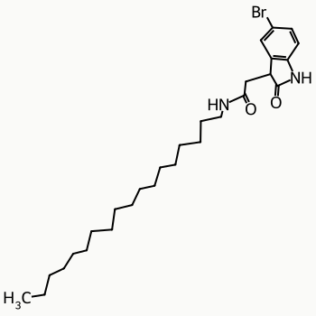 CCCCCCCCCCCCCCCCCCNC(=O)CC1C(=O)Nc2ccc(Br)cc21